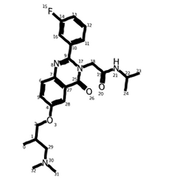 CC(COc1ccc2nc(-c3cccc(F)c3)n(CC(=O)NC(C)C)c(=O)c2c1)CN(C)C